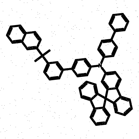 CC(C)(c1cccc(-c2ccc(N(c3ccc(-c4ccccc4)cc3)c3ccc4c(c3)C3(c5ccccc5-c5ccccc53)c3ccccc3-4)cc2)c1)c1ccc2ccccc2c1